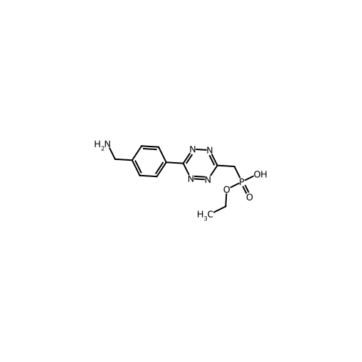 CCOP(=O)(O)Cc1nnc(-c2ccc(CN)cc2)nn1